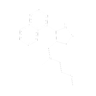 CNCCN(C)CC1CNNC1c1cccc2ccccc12